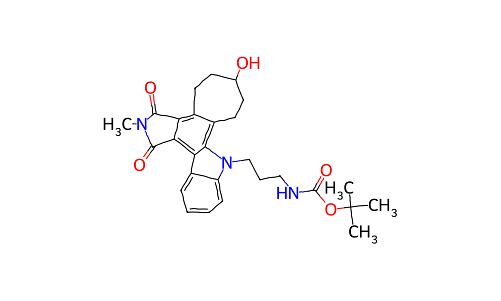 CN1C(=O)c2c3c(c4c(c2C1=O)c1ccccc1n4CCCNC(=O)OC(C)(C)C)CCC(O)CC3